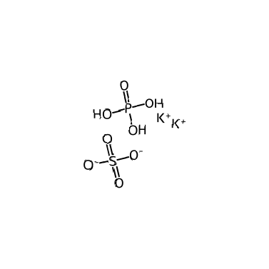 O=P(O)(O)O.O=S(=O)([O-])[O-].[K+].[K+]